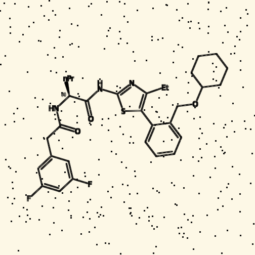 CCC[C@H](NC(=O)Cc1cc(F)cc(F)c1)C(=O)Nc1nc(CC)c(-c2ccccc2COC2CCCCC2)s1